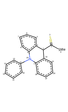 CSC(=S)C1c2ccccc2N(c2ccccc2)c2ccccc21